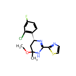 COC1(C)C[C@H](c2ccc(F)cc2Cl)N=C(c2nccs2)N1